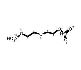 O=[SH](=O)OCCOCCOS(=O)(=O)O